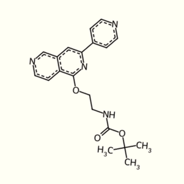 CC(C)(C)OC(=O)NCCOc1nc(-c2ccncc2)cc2cnccc12